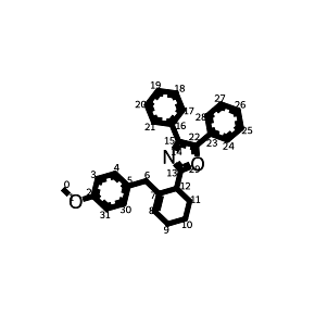 COc1ccc(CC2=CCCCC2c2nc(-c3ccccc3)c(-c3ccccc3)o2)cc1